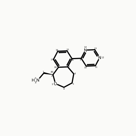 NC[C@@H]1OCCCc2c(-c3ccncn3)cccc21